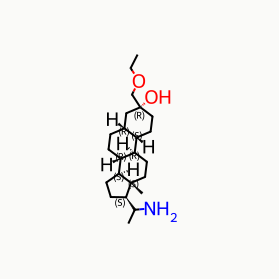 CCOC[C@@]1(O)CC[C@H]2[C@H](CC[C@@H]3[C@@H]2CC[C@]2(C)[C@@H](C(C)N)CC[C@@H]32)C1